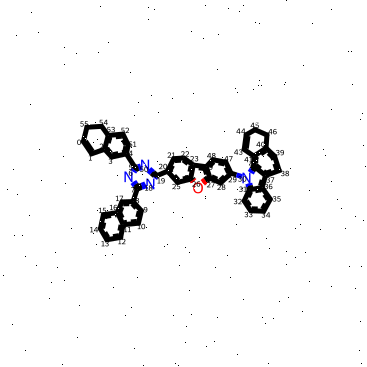 C1=Cc2cc(-c3nc(-c4ccc5ccccc5c4)nc(-c4ccc5c(c4)oc4cc(-n6c7ccccc7c7ccc8c(c76)C=CCC8)ccc45)n3)ccc2CC1